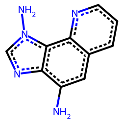 Nc1cc2cccnc2c2c1ncn2N